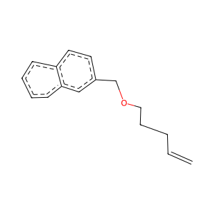 C=CCCCOCc1ccc2ccccc2c1